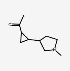 CC(=O)C1CC1C1CCN(C)C1